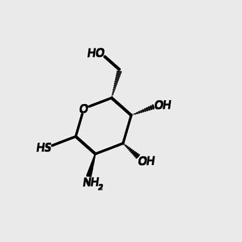 N[C@H]1C(S)O[C@H](CO)[C@H](O)[C@@H]1O